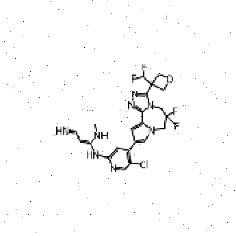 CN/C(=C\C=N)Nc1cc(-c2cc3n(c2)CC(F)(F)Cn2c-3nnc2C2(C(F)F)COC2)c(Cl)cn1